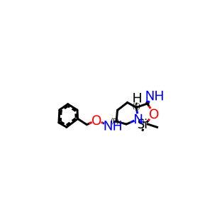 C[Si]1(C)OC(=N)[C@@H]2CC[C@@H](NOCc3ccccc3)CN21